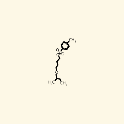 CCC(C)COCCCCOS(=O)(=O)c1ccc(C)cc1